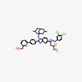 CC1CC2CC(C)CC(Cn3c(-c4ccc(-c5cccc(CO)n5)cc4)nc4cc(C(CC(N)=O)NCc5ccc(Cl)c(Cl)c5)ccc43)(C1)C2